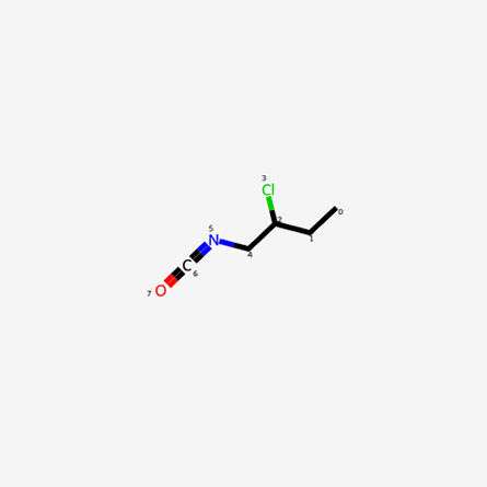 CCC(Cl)CN=C=O